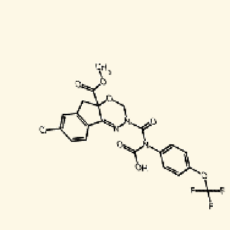 COC(=O)C12Cc3cc(Cl)ccc3C1=NN(C(=O)N(C(=O)O)c1ccc(OC(F)(F)F)cc1)CO2